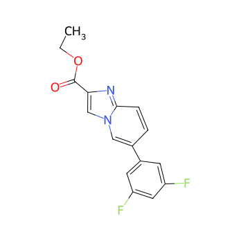 CCOC(=O)c1cn2cc(-c3cc(F)cc(F)c3)ccc2n1